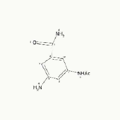 CC(=O)Nc1cc(N)cc(C(N)=O)c1